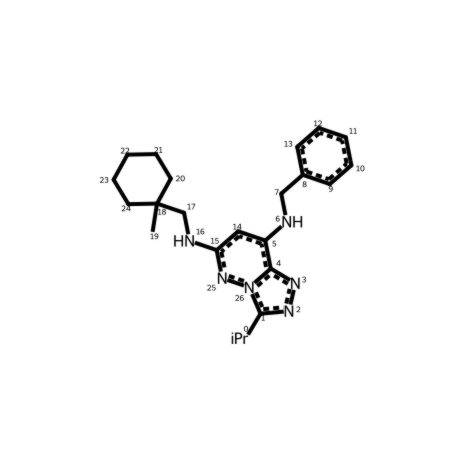 CC(C)c1nnc2c(NCc3ccccc3)cc(NCC3(C)CCCCC3)nn12